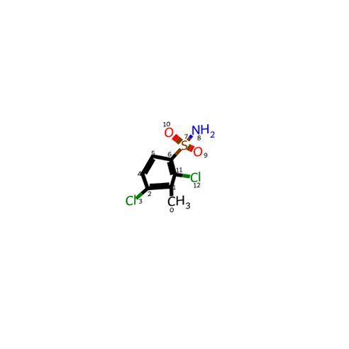 Cc1c(Cl)ccc(S(N)(=O)=O)c1Cl